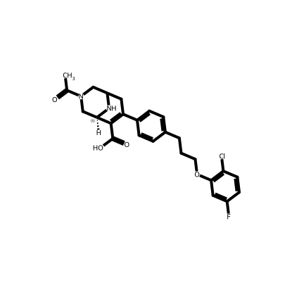 CC(=O)N1CC2CC(c3ccc(CCCOc4cc(F)ccc4Cl)cc3)=C(C(=O)O)[C@@H](C1)N2